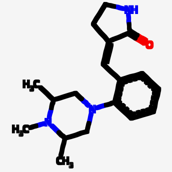 CC1CN(c2ccccc2C=C2CCNC2=O)CC(C)N1C